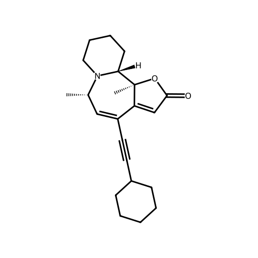 C[C@H]1C=C(C#CC2CCCCC2)C2=CC(=O)O[C@]2(C)[C@H]2CCCCN12